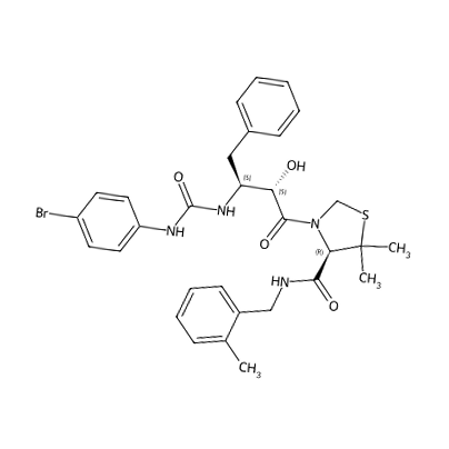 Cc1ccccc1CNC(=O)[C@H]1N(C(=O)[C@@H](O)[C@H](Cc2ccccc2)NC(=O)Nc2ccc(Br)cc2)CSC1(C)C